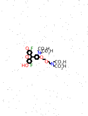 O=C(O)CN(CCOCCOc1ccc(-c2c3cc(F)c(=O)cc-3oc3cc(O)c(F)cc23)cc1N(CC(=O)O)CC(=O)O)CC(=O)O